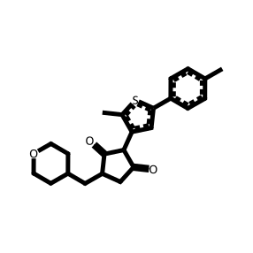 Cc1ccc(-c2cc(C3C(=O)CC(CC4CCOCC4)C3=O)c(C)s2)cc1